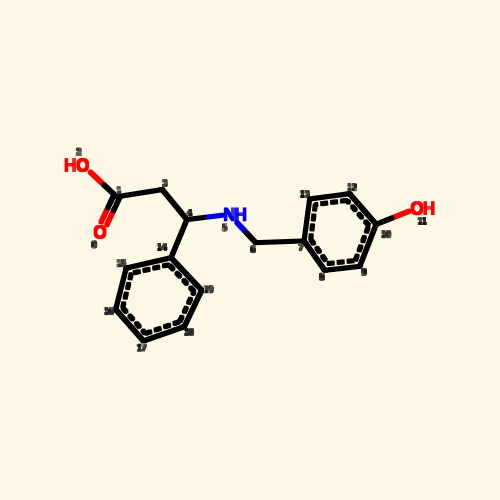 O=C(O)CC(NCc1ccc(O)cc1)c1ccccc1